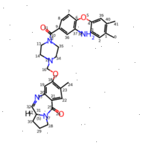 Cc1ccc(Oc2ccc(C(=O)N3CCN(COc4cc5c(cc4C)C(=O)N4CCC[C@H]4C=N5)CC3)cc2N)cc1C